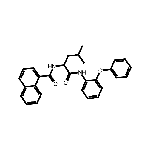 CC(C)CC(NC(=O)c1cccc2ccccc12)C(=O)Nc1ccccc1Oc1ccccc1